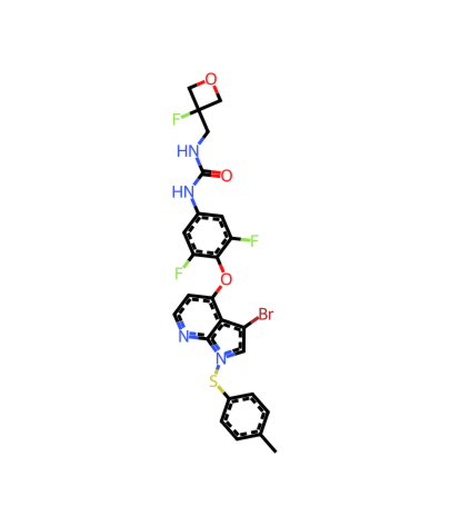 Cc1ccc(Sn2cc(Br)c3c(Oc4c(F)cc(NC(=O)NCC5(F)COC5)cc4F)ccnc32)cc1